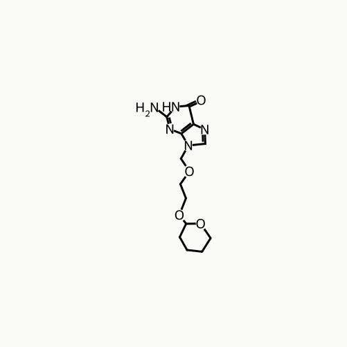 Nc1nc2c(ncn2COCCOC2CCCCO2)c(=O)[nH]1